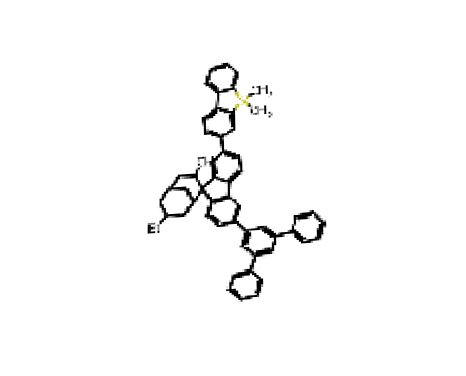 CCC1CC2CC(C)C3(c4ccc(-c5cc(-c6ccccc6)cc(-c6ccccc6)c5)cc4-c4ccc(-c5ccc6c(c5)S(C)(C)c5ccccc5-6)cc43)C(C1)C2